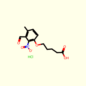 Cc1ccc(OCCCCC(=O)O)c([N+](=O)[O-])c1C=O.Cl